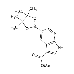 COC(=O)c1c[nH]c2ncc(B3OC(C)(C)C(C)(C)O3)cc12